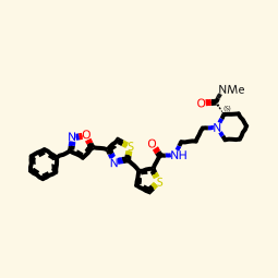 CNC(=O)[C@@H]1CCCCN1CCCNC(=O)c1sccc1-c1nc(-c2cc(-c3ccccc3)no2)cs1